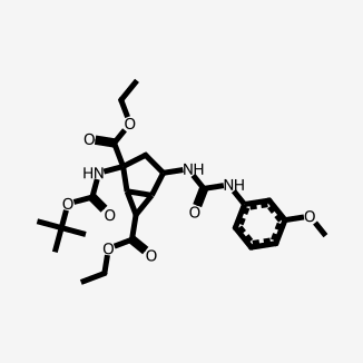 CCOC(=O)C1C2C(NC(=O)Nc3cccc(OC)c3)CC(NC(=O)OC(C)(C)C)(C(=O)OCC)C12